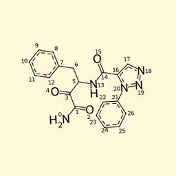 NC(=O)C(=O)C(Cc1ccccc1)NC(=O)c1cnnn1-c1ccccc1